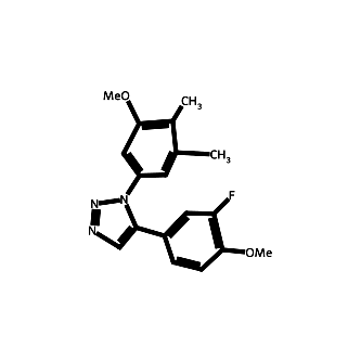 COc1ccc(-c2cnnn2-c2cc(C)c(C)c(OC)c2)cc1F